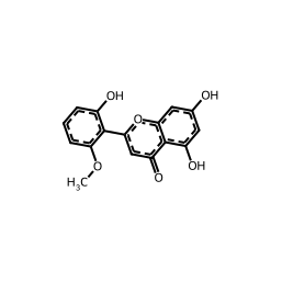 COc1cccc(O)c1-c1cc(=O)c2c(O)cc(O)cc2o1